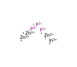 [In+3].[P-3].[P-3].[P-3].[Zn+2].[Zn+2].[Zn+2]